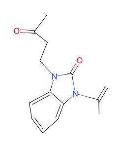 C=C(C)n1c(=O)n(CCC(C)=O)c2ccccc21